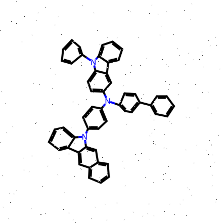 c1ccc(-c2ccc(N(c3ccc(-n4c5ccccc5c5cc6ccccc6cc54)cc3)c3ccc4c(c3)c3ccccc3n4-c3ccccc3)cc2)cc1